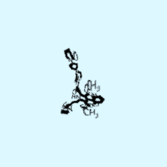 COC(=O)C1=C(CCc2nccs2)NC(CC(=O)N2CCN(C3CCC(N4CCCC4=O)CC3)CC2)=C(C(=O)OC)C1c1c(Cl)cccc1Cl